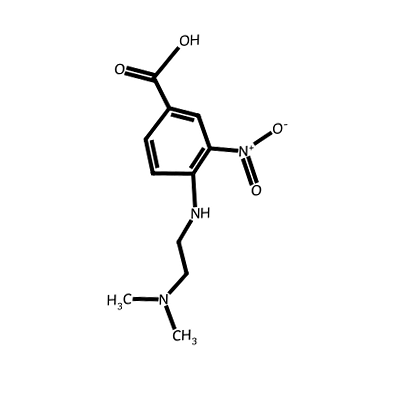 CN(C)CCNc1ccc(C(=O)O)cc1[N+](=O)[O-]